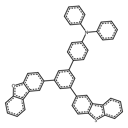 c1ccc(N(c2ccccc2)c2ccc(-c3cc(-c4ccc5oc6ccccc6c5c4)cc(-c4ccc5sc6ccccc6c5c4)c3)cc2)cc1